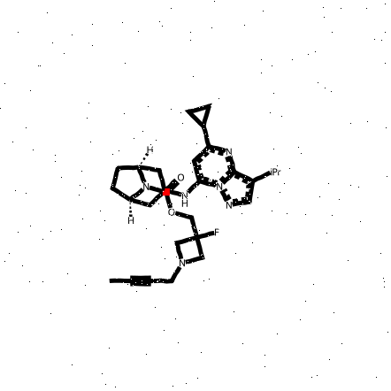 CC#CCN1CC(F)(COC(=O)N2[C@@H]3CC[C@H]2CC(Nc2cc(C4CC4)nc4c(C(C)C)cnn24)C3)C1